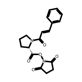 O=C(ON1C(=O)CCC1=O)[C@@H]1CCCN1C(=O)C=Cc1ccccc1